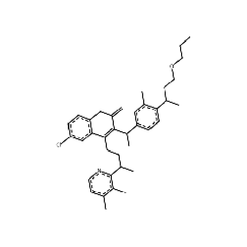 C=C1Cc2ccc(Cl)cc2C(CCC(C)c2nccc(C)c2C)=C1C(C)c1ccc(C(C)CCOCCC)c(C)c1